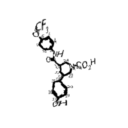 O=C(Nc1ccc(OC(F)(F)F)cc1)C1CC(c2ccc(O)cc2)CN(C(=O)O)C1